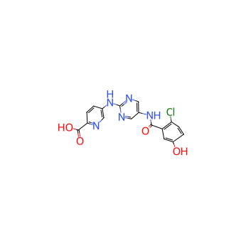 O=C(O)c1ccc(Nc2ncc(NC(=O)c3cc(O)ccc3Cl)cn2)cn1